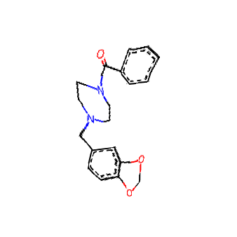 O=C(c1[c]cccc1)N1CCN(Cc2ccc3c(c2)OCO3)CC1